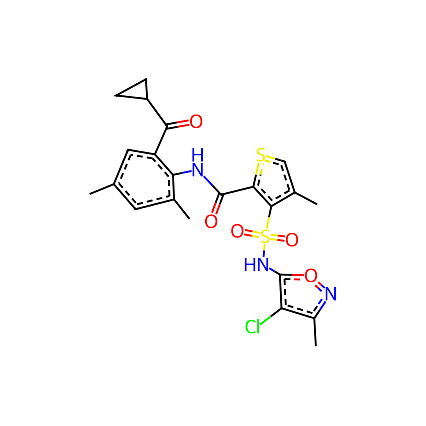 Cc1cc(C)c(NC(=O)c2scc(C)c2S(=O)(=O)Nc2onc(C)c2Cl)c(C(=O)C2CC2)c1